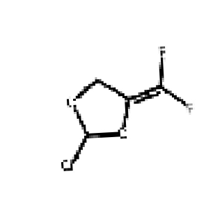 FC(F)=C1COC(Cl)O1